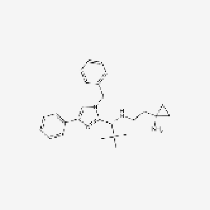 CC(C)(C)[C@@H](NCCC1(N)CC1)c1nc(-c2ccccc2)cn1Cc1ccccc1